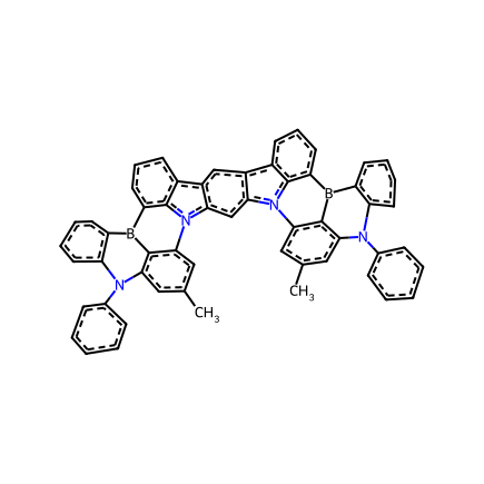 Cc1cc2c3c(c1)-n1c4cc5c(cc4c4cccc(c41)B3c1ccccc1N2c1ccccc1)c1cccc2c1n5-c1cc(C)cc3c1B2c1ccccc1N3c1ccccc1